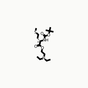 CCN(CC)CCOC(=O)[C@H](CCSC)NC(=O)OC(C)(C)C